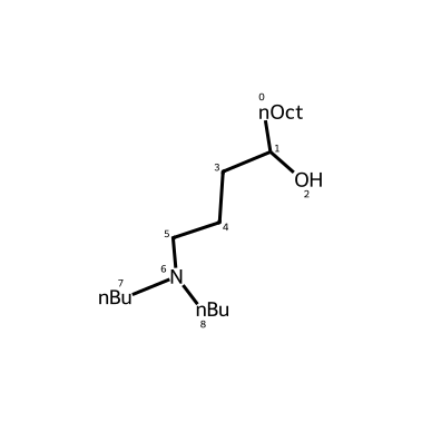 CCCCCCCCC(O)CCCN(CCCC)CCCC